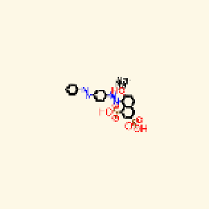 O=S(=O)(O)c1cc(S(=O)(=O)O)c2c(N=Nc3ccc(N=Nc4ccccc4)cc3)c(O)ccc2c1.[Na].[Na]